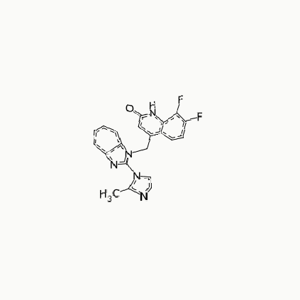 Cc1nccn1-c1nc2ccccc2n1Cc1cc(=O)[nH]c2c(F)c(F)ccc12